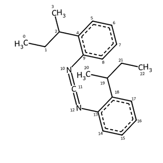 CCC(C)c1ccccc1N=C=Nc1ccccc1C(C)CC